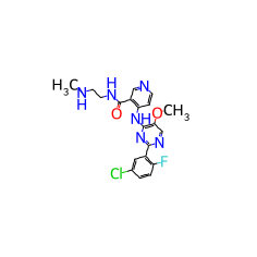 CNCCNC(=O)c1cnccc1Nc1nc(-c2cc(Cl)ccc2F)ncc1OC